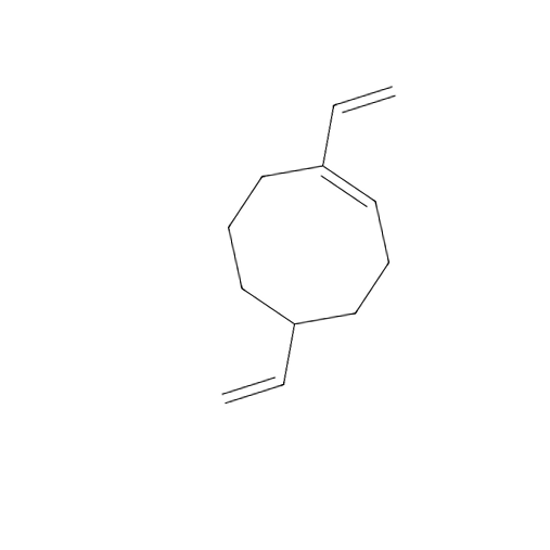 C=CC1=CCCC(C=C)CCC1